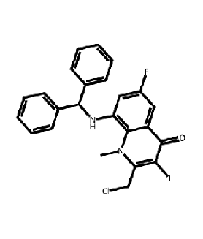 Cn1c(CCl)c(I)c(=O)c2cc(F)cc(NC(c3ccccc3)c3ccccc3)c21